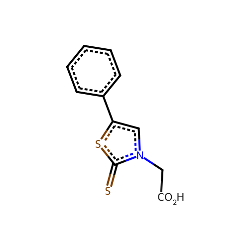 O=C(O)Cn1cc(-c2ccccc2)sc1=S